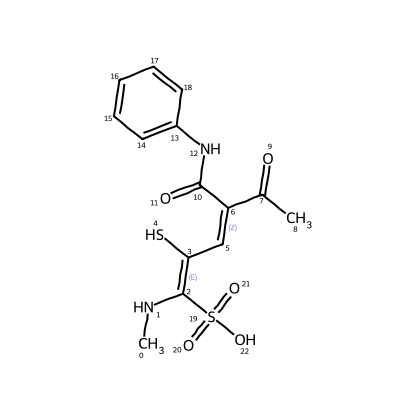 CN/C(=C(S)/C=C(/C(C)=O)C(=O)Nc1ccccc1)S(=O)(=O)O